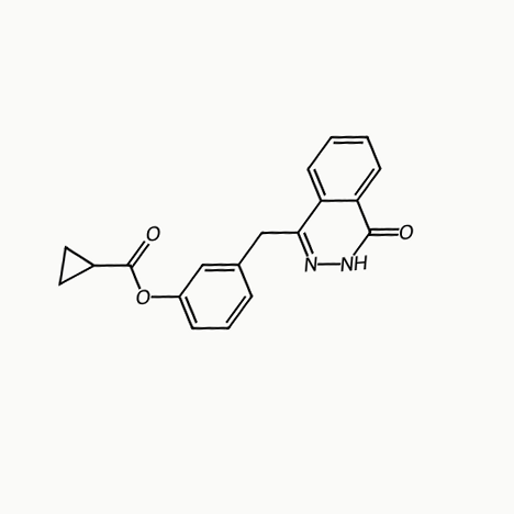 O=C(Oc1cccc(Cc2n[nH]c(=O)c3ccccc23)c1)C1CC1